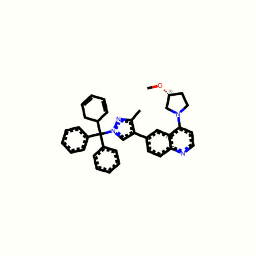 CO[C@@H]1CCN(c2ccnc3ccc(-c4cn(C(c5ccccc5)(c5ccccc5)C5C=CC=CC5)nc4C)cc23)C1